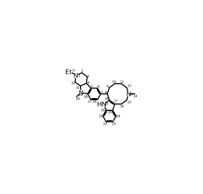 CCN1CCC2c3cc(C4CCCCN(C)CCc5c4[nH]c4ccccc54)ccc3N(C)C2C1